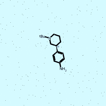 CC(C)(C)N1CCC[C@@H](c2ccc(N)cc2)C1